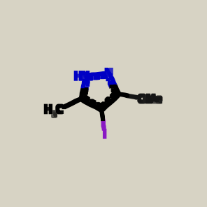 COc1n[nH]c(C)c1I